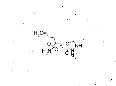 C=CCCC(CCC1(C)NNCO1)S(N)(=O)=O